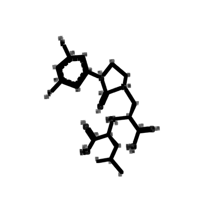 CC(C)C[C@H](N[C@@H](CN1CCN(c2cc(F)cc(F)c2)C1=O)C(=O)O)C(=O)O